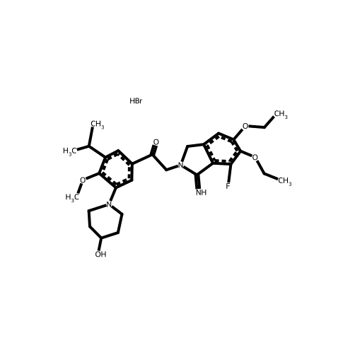 Br.CCOc1cc2c(c(F)c1OCC)C(=N)N(CC(=O)c1cc(C(C)C)c(OC)c(N3CCC(O)CC3)c1)C2